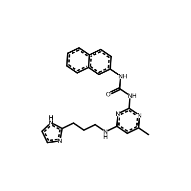 Cc1cc(NCCCc2ncc[nH]2)nc(NC(=O)Nc2ccc3ccccc3c2)n1